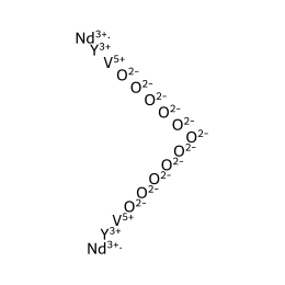 [Nd+3].[Nd+3].[O-2].[O-2].[O-2].[O-2].[O-2].[O-2].[O-2].[O-2].[O-2].[O-2].[O-2].[V+5].[V+5].[Y+3].[Y+3]